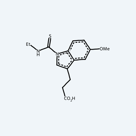 CCNC(=S)n1cc(CCC(=O)O)c2cc(OC)ccc21